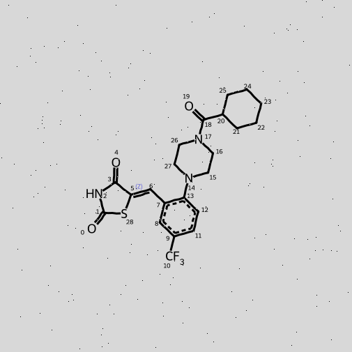 O=C1NC(=O)/C(=C/c2cc(C(F)(F)F)ccc2N2CCN(C(=O)C3CCCCC3)CC2)S1